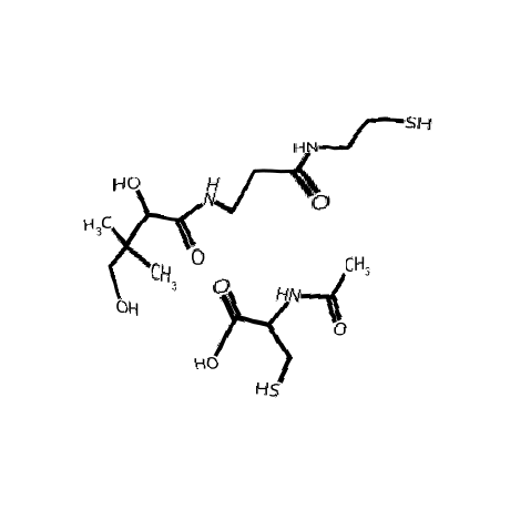 CC(=O)NC(CS)C(=O)O.CC(C)(CO)C(O)C(=O)NCCC(=O)NCCS